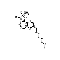 CCCCCCCCc1ccc2c(c1)CC=CCC2CC(C)(N)CO